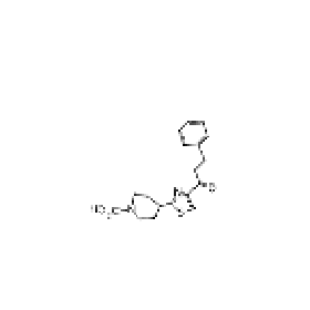 O=C(CCc1ccccc1)c1csc(C2CCN(C(=O)O)CC2)n1